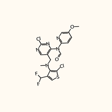 COc1ccc(N(C=O)c2nc(Cl)ncc2CN(C)c2c(C(F)F)csc2Cl)nc1